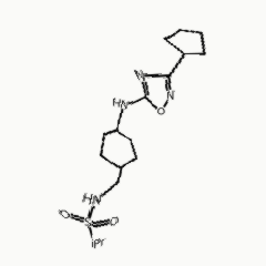 CC(C)S(=O)(=O)NCC1CCC(Nc2nc(C3CCCC3)no2)CC1